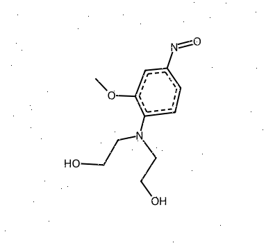 COc1cc(N=O)ccc1N(CCO)CCO